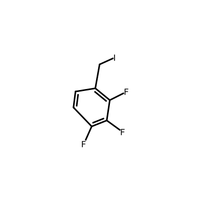 Fc1ccc(CI)c(F)c1F